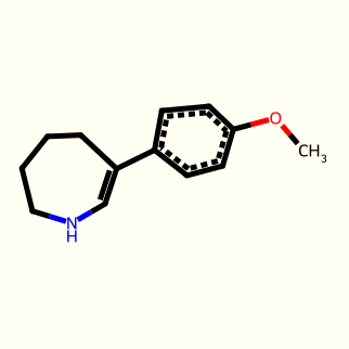 COc1ccc(C2=CNCCCC2)cc1